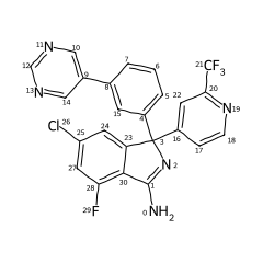 NC1=NC(c2cccc(-c3cncnc3)c2)(c2ccnc(C(F)(F)F)c2)c2cc(Cl)cc(F)c21